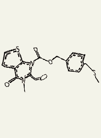 CSc1ccc(COC(=O)n2c(=O)n(C)c(=O)c3ccsc32)cc1